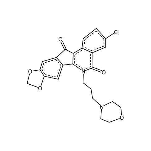 O=C1c2cc3c(cc2-c2c1c1ccc(Cl)cc1c(=O)n2CCCN1CCOCC1)OCO3